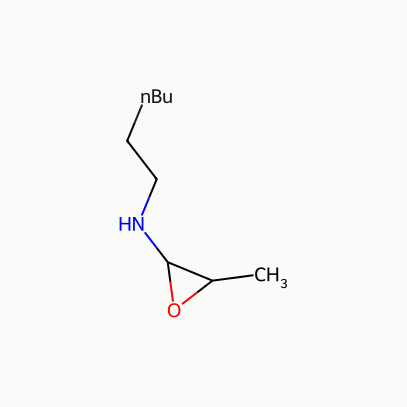 CCCCCCNC1OC1C